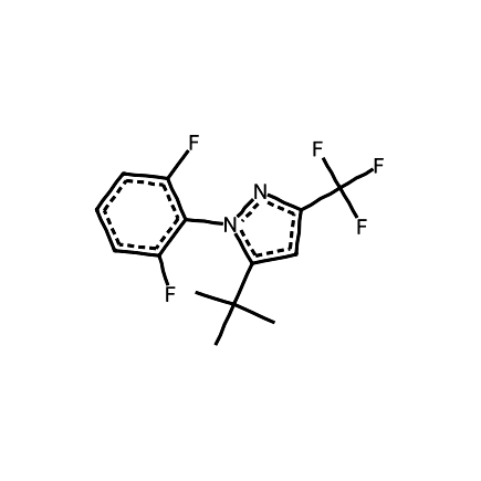 CC(C)(C)c1cc(C(F)(F)F)nn1-c1c(F)cccc1F